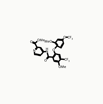 COC(=O)c1cc(NC(=O)c2cc(OC)c(C(F)(F)F)cc2Oc2ccc(OC(F)(F)F)cc2OC)ccn1